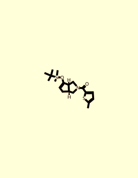 Cc1ccc(C(=O)N2C[C@@H]3CC=C(O[Si](C)(C)C(C)(C)C)[C@@H]3C2)s1